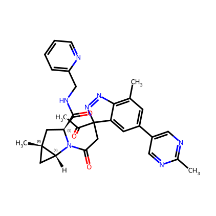 CC(=O)C1(CC(=O)N2[C@H](C(=O)NCc3ccccn3)C[C@@]3(C)C[C@@H]23)N=Nc2c(C)cc(-c3cnc(C)nc3)cc21